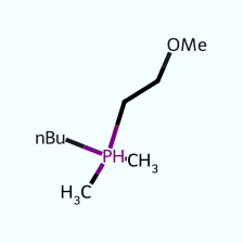 CCCC[PH](C)(C)CCOC